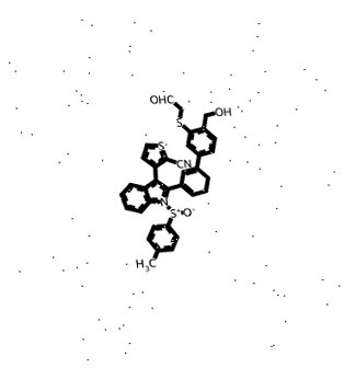 Cc1ccc([S+]([O-])n2c(C3=CCCC(c4ccc(CO)c(SCC=O)c4)=C3)c(-c3ccsc3C#N)c3ccccc32)cc1